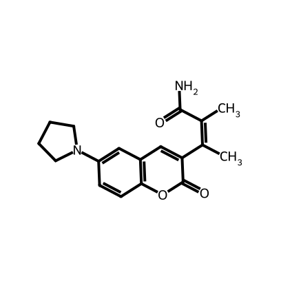 CC(C(N)=O)=C(C)c1cc2cc(N3CCCC3)ccc2oc1=O